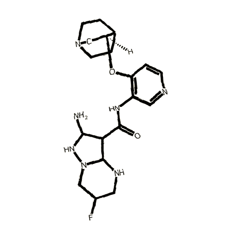 NC1NN2CC(F)CNC2C1C(=O)Nc1cnccc1O[C@H]1CN2CCC1CC2